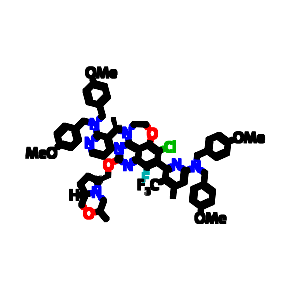 COc1ccc(CN(Cc2ccc(OC)cc2)c2cc(C)c(C(F)(F)F)c(-c3c(Cl)c4c5c(nc(OC[C@@H]6CC[C@H]7COC(C)CN67)nc5c3F)N([C@H](C)c3cccnc3N(Cc3ccc(OC)cc3)Cc3ccc(OC)cc3)CCO4)n2)cc1